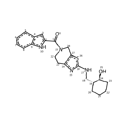 O=C(c1cc2ccccc2[nH]1)N1CCc2nc(NC[C@H]3CCCC[C@@H]3O)sc2C1